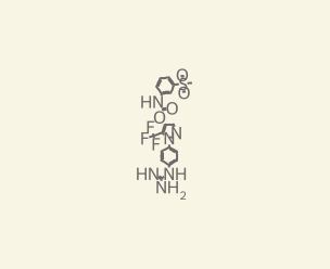 CS(=O)(=O)c1cccc(NC(=O)Oc2cnn(-c3ccc(NC(=N)N)cc3)c2C(F)(F)F)c1